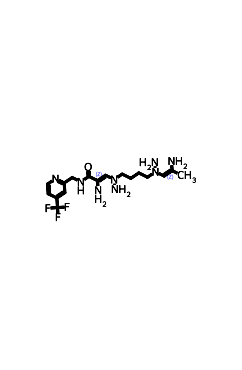 C/C(N)=C/N(N)CCCCN(N)/C=C(\N)C(=O)NCc1cc(C(F)(F)F)ccn1